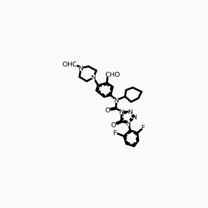 O=Cc1cc(N(C(=O)n2nnn(-c3c(F)cccc3F)c2=O)C2CCCCC2)ccc1N1CCN(C=O)CC1